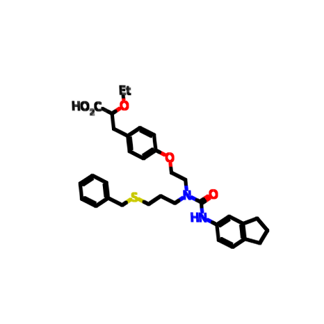 CCOC(Cc1ccc(OCCN(CCCSCc2ccccc2)C(=O)Nc2ccc3c(c2)CCC3)cc1)C(=O)O